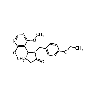 CCOc1ccc(CN2C(=O)CSC2c2c(OC)ncnc2OC)cc1